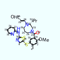 COc1cc(C)c(Sc2cnc(Nc3ccccn3)s2)cc1C(=O)N1CCCN(C=CC=O)[C@H](C(C)C)C1